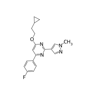 Cn1cc(-c2nc(OCCC3CC3)cc(-c3ccc(F)cc3)n2)cn1